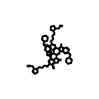 O=C([C@H]1NCc2c(Cl)c(OCCCN3CCCC3CO)cc(-c3cc4cc(CN5CCCCC5)ccc4[nH]3)c21)[C@H]1NCc2c(Cl)c(OCCCN3CCCC3CO)cc(-c3cc4cc(CN5CCCCC5)ccc4[nH]3)c21